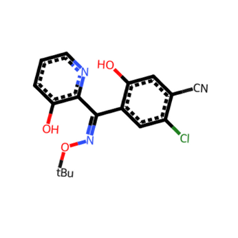 CC(C)(C)ON=C(c1cc(Cl)c(C#N)cc1O)c1ncccc1O